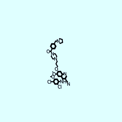 COc1cc(Nc2c(C#N)cnc3cc(OCCCN4CCN(C(=O)c5ccc(CN6CCCC6)cc5)CC4)c(OC)cc23)c(Cl)cc1Cl